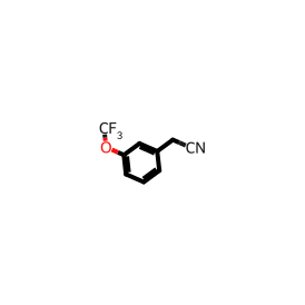 N#CCc1cccc(OC(F)(F)F)c1